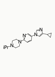 CC(C)N1CCN(c2ccc(-n3cnc(C4CC4)c3)cn2)CC1